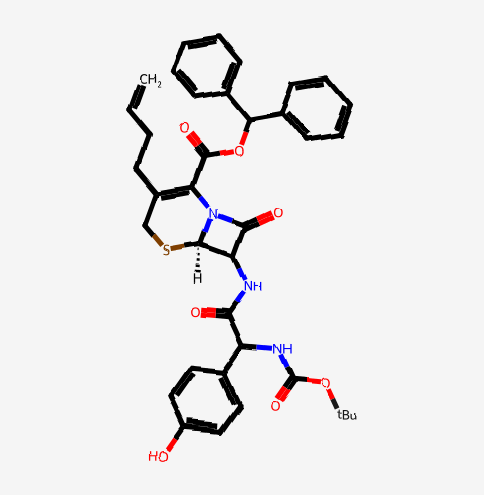 C=CCCC1=C(C(=O)OC(c2ccccc2)c2ccccc2)N2C(=O)C(NC(=O)C(NC(=O)OC(C)(C)C)c3ccc(O)cc3)[C@H]2SC1